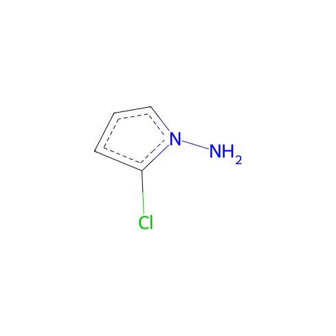 Nn1cccc1Cl